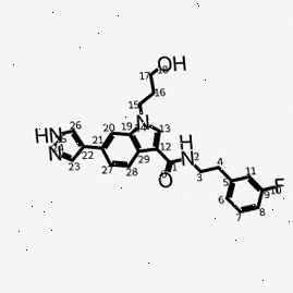 O=C(NCCc1cccc(F)c1)c1cn(CCCO)c2cc(-c3cn[nH]c3)ccc12